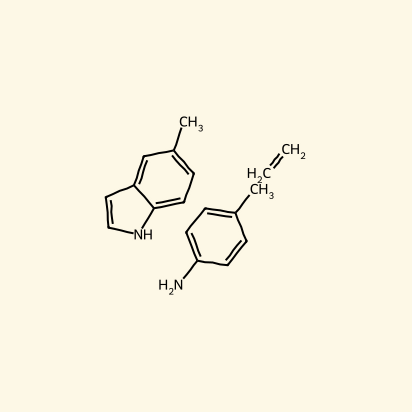 C=C.Cc1ccc(N)cc1.Cc1ccc2[nH]ccc2c1